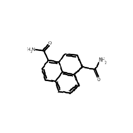 NC(=O)c1ccc2cccc3c2c1C=CC3C(N)=O